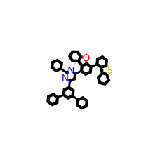 c1ccc(-c2cc(-c3ccccc3)cc(-c3cc(-c4ccc(-c5cccc6sc7ccccc7c56)c5oc6ccccc6c45)nc(-c4ccccc4)n3)c2)cc1